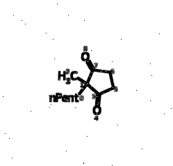 CCCCCC1(C)C(=O)CCC1=O